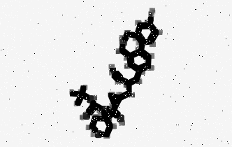 CC(C)(C)OC(=O)NC1(C(=O)C2CC2CC(C#N)Cc2ccc3c(c2)COCc2cc(F)ccc2-3)CCOCC1